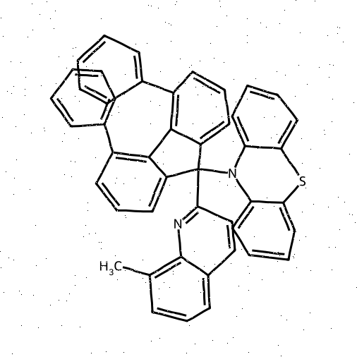 Cc1cccc2ccc(C3(N4c5ccccc5Sc5ccccc54)c4cccc(-c5ccccc5)c4-c4c(-c5ccccc5)cccc43)nc12